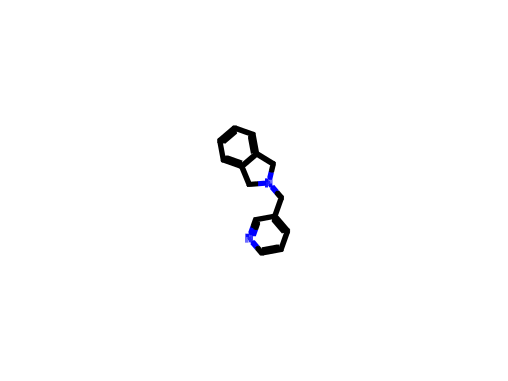 c1cncc(CN2Cc3ccccc3C2)c1